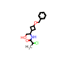 CC(Cl)C(=O)NC(CO)C1CC(OCc2ccccc2)C1